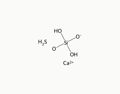 S.[Ca+2].[O-][Si]([O-])(O)O